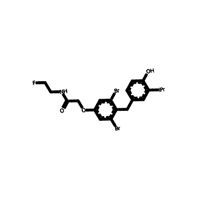 CC(C)c1cc(Cc2c(Br)cc(OCC(=O)NCCF)cc2Br)ccc1O